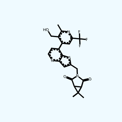 Cc1nc(C(F)(F)F)cc(-c2ccnc3cc(CN4C(=O)C5C(C4=O)C5(C)C)sc23)c1CO